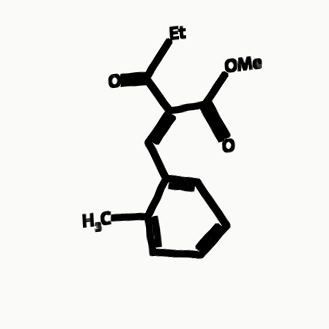 CCC(=O)C(=Cc1ccccc1C)C(=O)OC